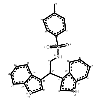 Cc1ccc(S(=O)(=O)NCC(c2c[nH]c3ccccc23)c2c[nH]c3ccccc23)cc1